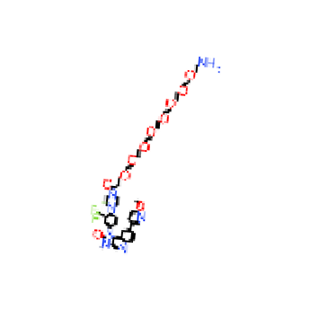 COc1ccc(-c2ccc3ncc4c(c3c2)n(-c2ccc(N3CCN(C(=O)CCOCCOCCOCCOCCOCCOCCOCCOCCN)CC3)c(C(F)(F)F)c2)c(=O)n4C)cn1